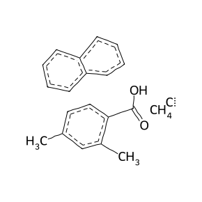 C.Cc1ccc(C(=O)O)c(C)c1.[C].c1ccc2ccccc2c1